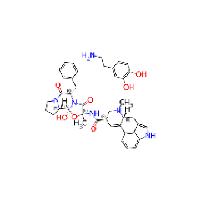 CN1C[C@H](C(=O)N[C@]2(C)O[C@@]3(O)[C@@H]4CCCN4C(=O)[C@H](Cc4ccccc4)N3C2=O)C=C2c3cccc4[nH]cc(c34)C[C@H]21.NCCc1ccc(O)c(O)c1